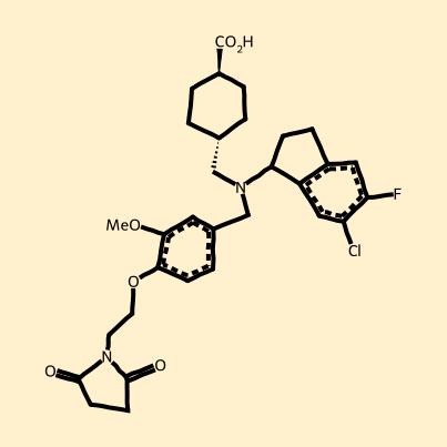 COc1cc(CN(C[C@H]2CC[C@H](C(=O)O)CC2)C2CCc3cc(F)c(Cl)cc32)ccc1OCCN1C(=O)CCC1=O